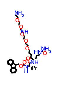 CC(C)[C@H](NC(=O)OCC1c2ccccc2-c2ccccc21)C(=O)N[C@@H](CCCNC(N)=O)C(=O)CCCOCCOCCONCOCCOCCN